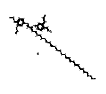 CCCCCCCCCCCCCCCCCCCCCCCCCCCCC(C=Nc1ccc(CCC)c(CCC)c1)=Nc1ccc(CCC)c(CCC)c1.[Ni]